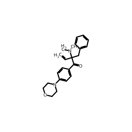 C=CC(Cc1ccccc1)(C(=O)c1ccc(N2CCOCC2)cc1)N(C)C